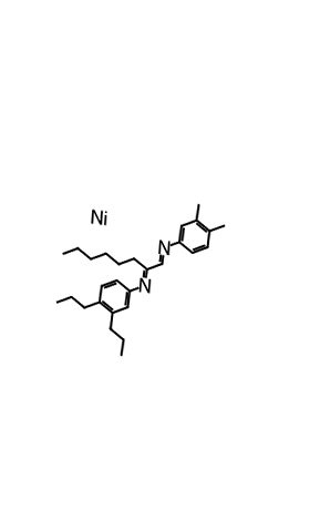 CCCCCCC(/C=N/c1ccc(C)c(C)c1)=N\c1ccc(CCC)c(CCC)c1.[Ni]